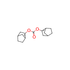 O=C(OC1=C2CCC(C2)C1)OC1=C2CCC(C2)C1